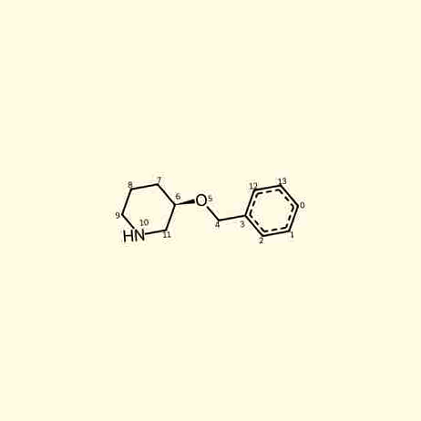 c1ccc(CO[C@@H]2CCCNC2)cc1